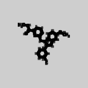 COC(=O)c1cccc(Cn2c(-c3cccc(F)c3)cc3cc(OC)ccc32)n1